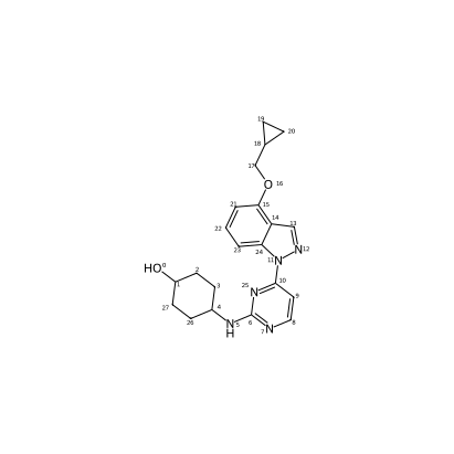 OC1CCC(Nc2nccc(-n3ncc4c(OCC5CC5)cccc43)n2)CC1